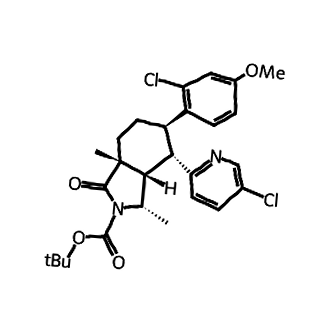 COc1ccc([C@@H]2CC[C@@]3(C)C(=O)N(C(=O)OC(C)(C)C)[C@@H](C)[C@H]3[C@H]2c2ccc(Cl)cn2)c(Cl)c1